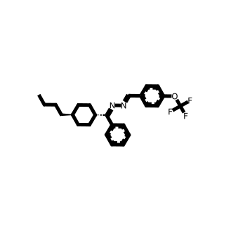 CCCC[C@H]1CC[C@H](C(=NN=Cc2ccc(OC(F)(F)F)cc2)c2ccccc2)CC1